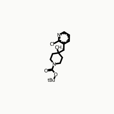 CC1(Cc2cccnc2Cl)CCN(C(=O)OC(C)(C)C)CC1